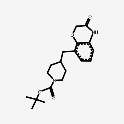 CC(C)(C)OC(=O)N1CCC(Cc2cccc3c2OCC(=O)N3)CC1